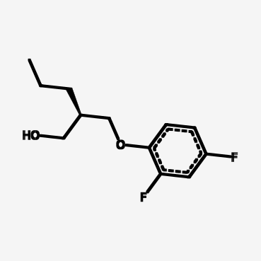 CCC[C@H](CO)COc1ccc(F)cc1F